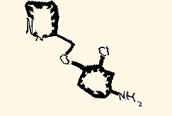 Nc1ccc(OCc2cccnn2)c(Cl)c1